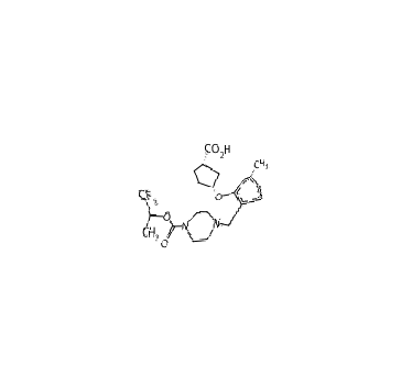 Cc1ccc(CN2CCN(C(=O)OC(C)C(F)(F)F)CC2)c(O[C@@H]2CC[C@H](C(=O)O)C2)c1